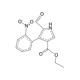 CCOC(=O)c1c[nH]c(C=O)c1-c1ccccc1[N+](=O)[O-]